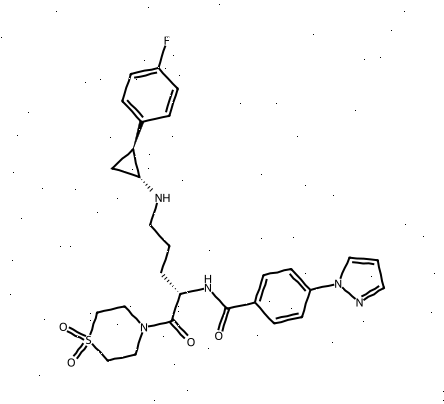 O=C(N[C@@H](CCCN[C@@H]1C[C@H]1c1ccc(F)cc1)C(=O)N1CCS(=O)(=O)CC1)c1ccc(-n2cccn2)cc1